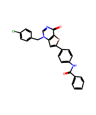 O=C(Nc1ccc(-c2cc3c(s2)c(=O)ncn3Cc2ccc(Cl)cc2)cc1)c1ccccc1